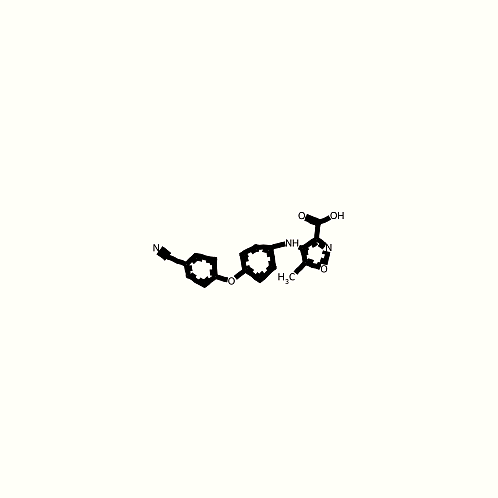 Cc1onc(C(=O)O)c1Nc1ccc(Oc2ccc(C#N)cc2)cc1